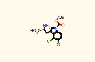 CC(C)(C)OC(=O)n1cc(C[C@H](N)C(=O)O)c2c(Cl)c(Cl)ccc21